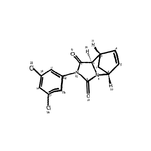 O=C1[C@H]2[C@@H]3C=C[C@@H](C3)N2C(=O)N1c1cc(Cl)cc(Cl)c1